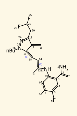 C=C(N)c1cc(F)c(C)nc1N/C(C)=C/C=c1\c(=C)c(CC(F)F)nn1CCCC